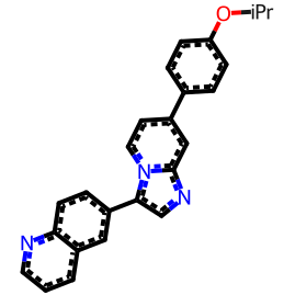 CC(C)Oc1ccc(-c2ccn3c(-c4ccc5ncccc5c4)cnc3c2)cc1